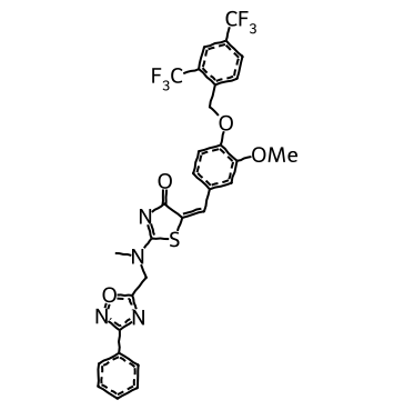 COc1cc(C=C2SC(N(C)Cc3nc(-c4ccccc4)no3)=NC2=O)ccc1OCc1ccc(C(F)(F)F)cc1C(F)(F)F